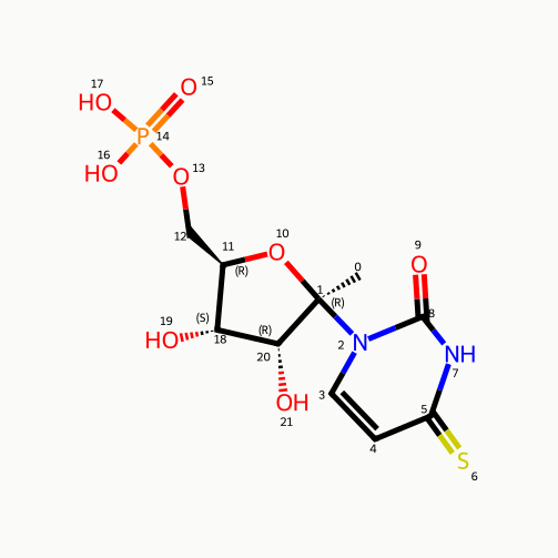 C[C@@]1(n2ccc(=S)[nH]c2=O)O[C@H](COP(=O)(O)O)[C@@H](O)[C@H]1O